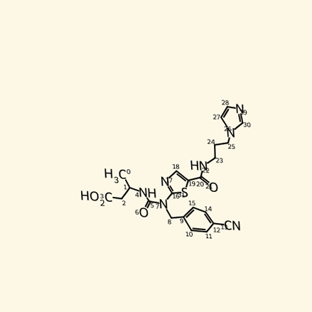 CC(CC(=O)O)NC(=O)N(Cc1ccc(C#N)cc1)c1ncc(C(=O)NCCCn2ccnc2)s1